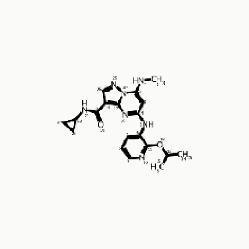 CNc1cc(Nc2cccnc2OC(C)C)nc2c(C(=O)NC3CC3)cnn12